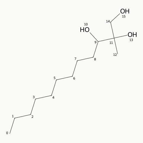 CCCCCCCCCC(O)C(C)(O)CO